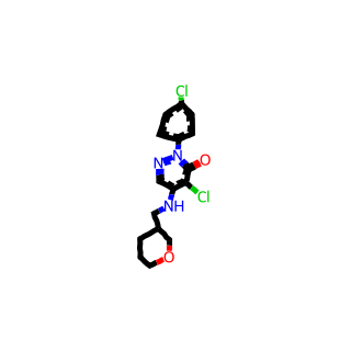 O=c1c(Cl)c(NCC2CCCOC2)cnn1-c1ccc(Cl)cc1